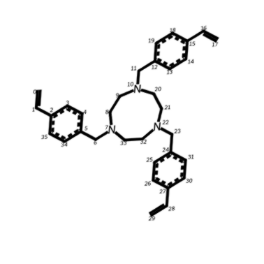 C=Cc1ccc(CN2CCN(Cc3ccc(C=C)cc3)CCN(Cc3ccc(C=C)cc3)CC2)cc1